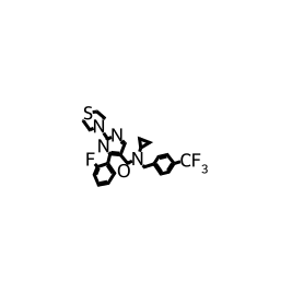 O=C(c1cnc(N2CCSCC2)nc1-c1ccccc1F)N(Cc1ccc(C(F)(F)F)cc1)C1CC1